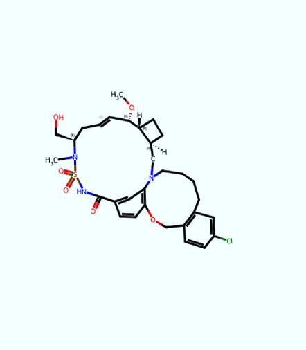 CO[C@H]1/C=C/C[C@H](CO)N(C)S(=O)(=O)NC(=O)c2ccc3c(c2)N(CCCCc2cc(Cl)ccc2CO3)C[C@@H]2CC[C@H]21